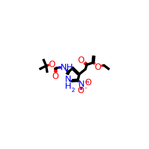 C=C(/C=C(CC(=O)C(=C)OCC)\C(=C/N)[N+](=O)[O-])NC(=O)OC(C)(C)C